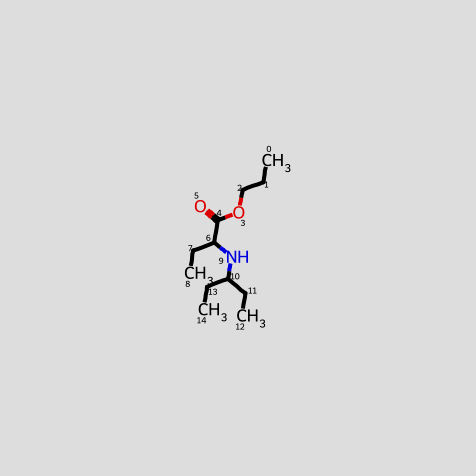 CCCOC(=O)C(CC)NC(CC)CC